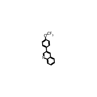 FC(F)(F)Oc1ccc(-c2cnc3ccccc3c2)cc1